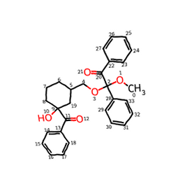 COC(OCC1CCCC(O)(C(=O)c2ccccc2)C1)(C(=O)c1ccccc1)c1ccccc1